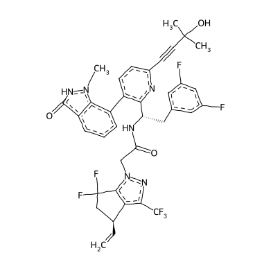 C=C[C@H]1CC(F)(F)c2c1c(C(F)(F)F)nn2CC(=O)N[C@@H](Cc1cc(F)cc(F)c1)c1nc(C#CC(C)(C)O)ccc1-c1cccc2c(=O)[nH]n(C)c12